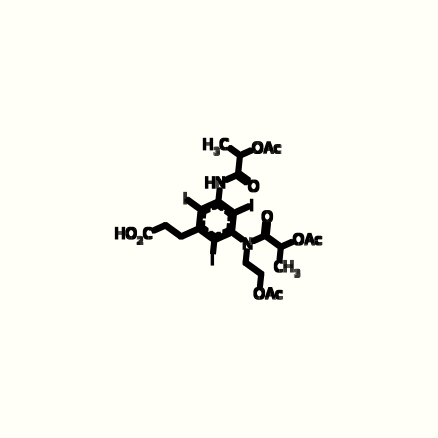 CC(=O)OCCN(C(=O)C(C)OC(C)=O)c1c(I)c(CCC(=O)O)c(I)c(NC(=O)C(C)OC(C)=O)c1I